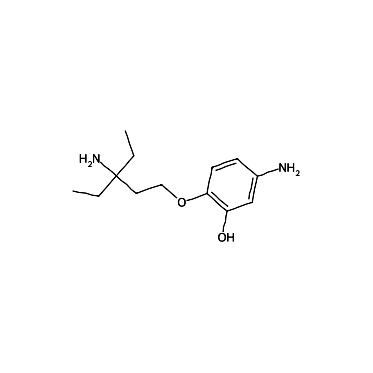 CCC(N)(CC)CCOc1ccc(N)cc1O